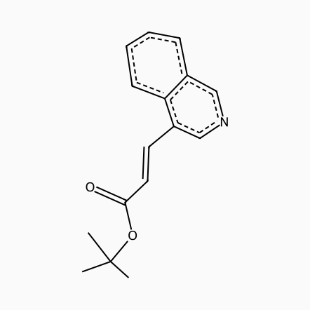 CC(C)(C)OC(=O)/C=C/c1cncc2ccccc12